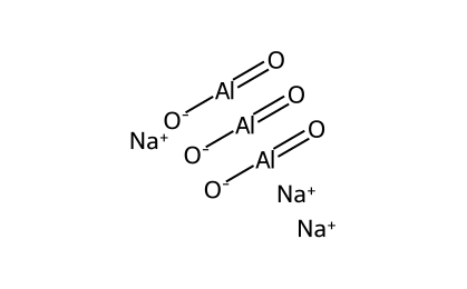 [Na+].[Na+].[Na+].[O]=[Al][O-].[O]=[Al][O-].[O]=[Al][O-]